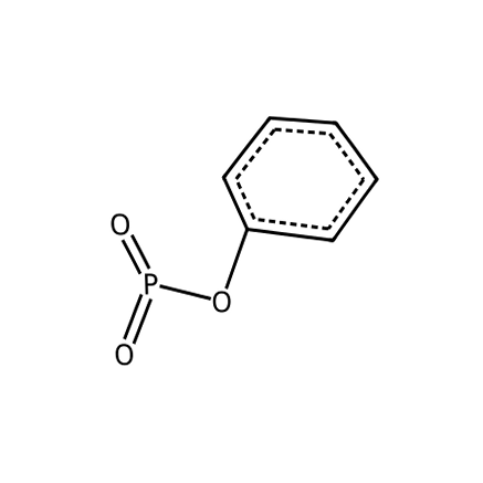 O=P(=O)Oc1ccccc1